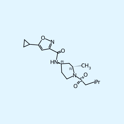 CC(C)CS(=O)(=O)N1CC[C@@H](NC(=O)c2cc(C3CC3)on2)C[C@@H]1C